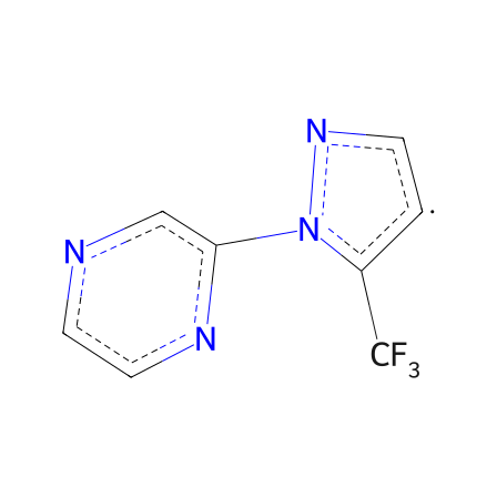 FC(F)(F)c1[c]cnn1-c1cnccn1